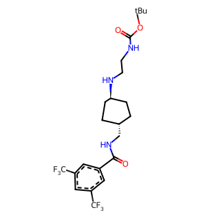 CC(C)(C)OC(=O)NCCN[C@H]1CC[C@H](CNC(=O)c2cc(C(F)(F)F)cc(C(F)(F)F)c2)CC1